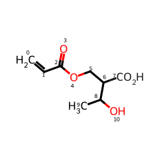 C=CC(=O)OCC(C(=O)O)C(C)O